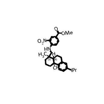 COC(=O)c1ccc(NC[C@@]2(C)CCC[C@]3(C)c4ccc(C(C)C)cc4CC[C@@H]23)c([N+](=O)[O-])c1